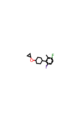 Cc1c(F)ccc(I)c1C1CCC(OC2CC2)CC1